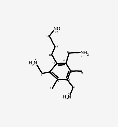 Cc1c(CN)c(C)c(CN)c(CCCN=O)c1CN